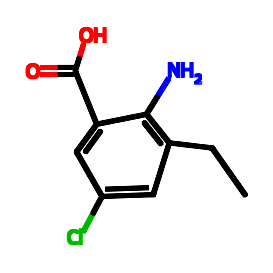 CCc1cc(Cl)cc(C(=O)O)c1N